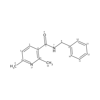 Cc1ccc(C(=O)NCc2ccccc2)c(C)n1